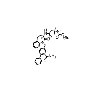 CC(C)(CC(=O)N[C@@H]1CCc2ccccc2N(Cc2ccc(-c3ccccc3)c(C(N)=S)c2)C1=O)NC(=O)OC(C)(C)C